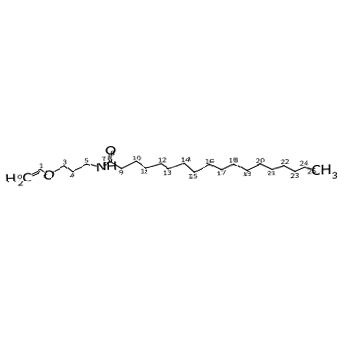 C=COCCCNC(=O)CCCCCCCCCCCCCCCCC